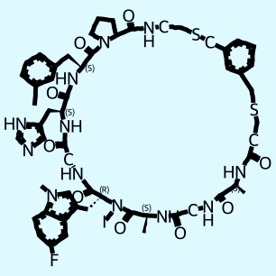 Cc1cccc(C[C@@H]2NC(=O)[C@H](Cc3cnc[nH]3)NC(=O)CNC(=O)[C@@H](Cc3cn(C)c4ccc(F)cc34)N(I)C(=O)[C@H](C)NC(=O)CNC(=O)[C@H](C)NC(=O)CCSCc3cccc(c3)CSCCNC(=O)C3CCCN3C2=O)c1